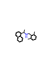 Cc1cccc(C)c1CNC(C)c1cccc2ccccc12